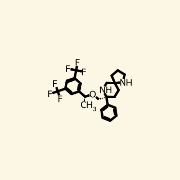 C[C@@H](OC[C@@]1(c2ccccc2)CCC2(CCCN2)CN1)c1cc(C(F)(F)F)cc(C(F)(F)F)c1